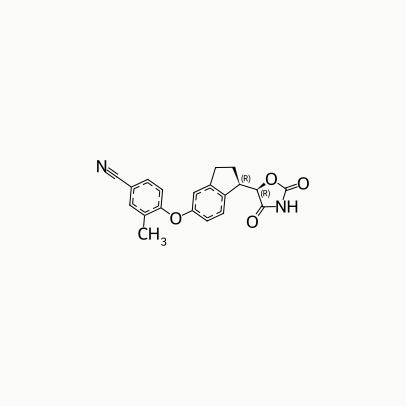 Cc1cc(C#N)ccc1Oc1ccc2c(c1)CC[C@H]2[C@H]1OC(=O)NC1=O